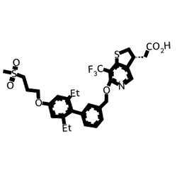 CCc1cc(OCCCS(C)(=O)=O)cc(CC)c1-c1cccc(COc2ncc3c(c2C(F)(F)F)SC[C@@H]3CC(=O)O)c1